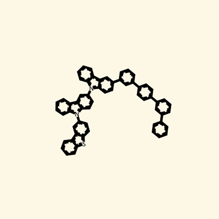 c1ccc(-c2cccc(-c3ccc(-c4cccc(-c5ccc6c(c5)c5ccccc5n6-c5ccc6c(c5)c5ccccc5n6-c5ccc6sc7ccccc7c6c5)c4)cc3)c2)cc1